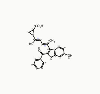 C/C(=C\C=C(/C)C1CC1C(=O)O)c1c(C(=O)c2ccccc2)sc2cc(O)ccc12